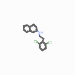 Clc1cccc(Cl)c1CCNc1ccc2ccccc2c1